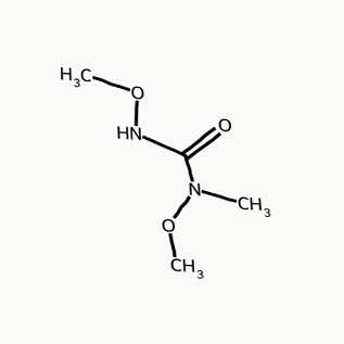 CONC(=O)N(C)OC